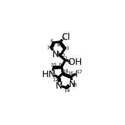 OC(c1cc(Cl)ccn1)c1c[nH]c2ncnc(I)c12